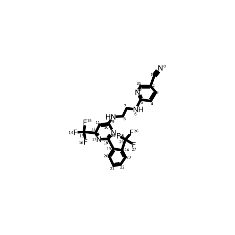 N#Cc1ccc(NCCNc2cc(C(F)(F)F)nc(-c3ccccc3C(F)(F)F)n2)nc1